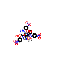 CCCC(Nc1ccc([N+](=O)[O-])cc1)C(O)C(CO)(C(C)CC(CO)Nc1ccc([N+](=O)[O-])cc1)C1(Nc2ccc([N+](=O)[O-])cc2)CCCC1